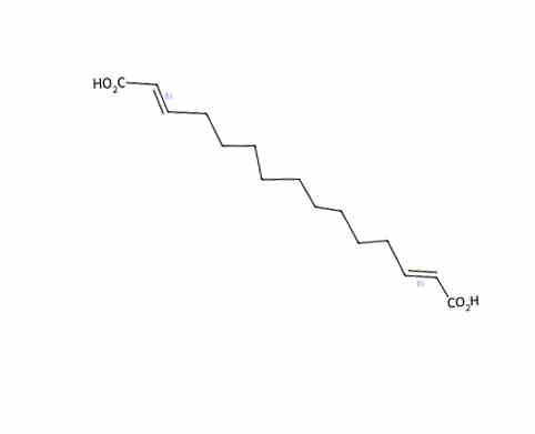 O=C(O)/C=C/CCCCCCCCC/C=C/C(=O)O